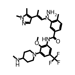 CNC1CCN(c2cc(C(F)(F)F)cc(NC(=O)c3ccc(C)c(N(N)/C=C(\C)c4cnn(C)c4C)c3)c2OC)CC1